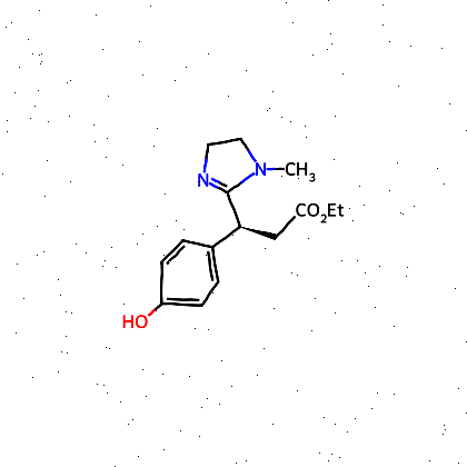 CCOC(=O)C[C@H](C1=NCCN1C)c1ccc(O)cc1